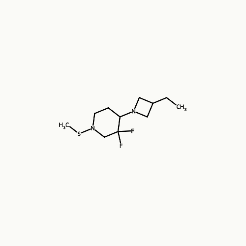 CCC1CN(C2CCN(SC)CC2(F)F)C1